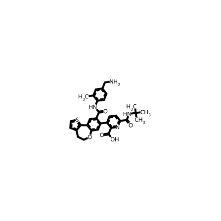 Cc1cc(CN)ccc1NC(=O)c1cc2c(cc1-c1ccc(C(=O)NC(C)(C)C)nc1C(=O)O)OCCc1ccsc1-2